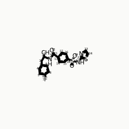 CC(Cc1ccc(F)cc1)NC(=O)c1ccc(S(=O)(=O)Nc2nccs2)cc1